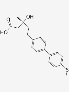 CSc1ccc(-c2ccc(CC[C@@](C)(O)CC(=O)O)cc2)cc1